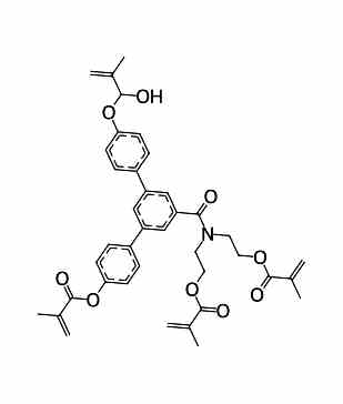 C=C(C)C(=O)OCCN(CCOC(=O)C(=C)C)C(=O)c1cc(-c2ccc(OC(=O)C(=C)C)cc2)cc(-c2ccc(OC(O)C(=C)C)cc2)c1